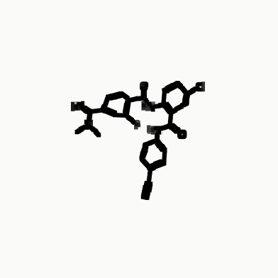 C#Cc1ccc(NC(=O)c2cc(Cl)ccc2NC(=O)c2ccc(C(=N)N(C)C)cc2F)cc1